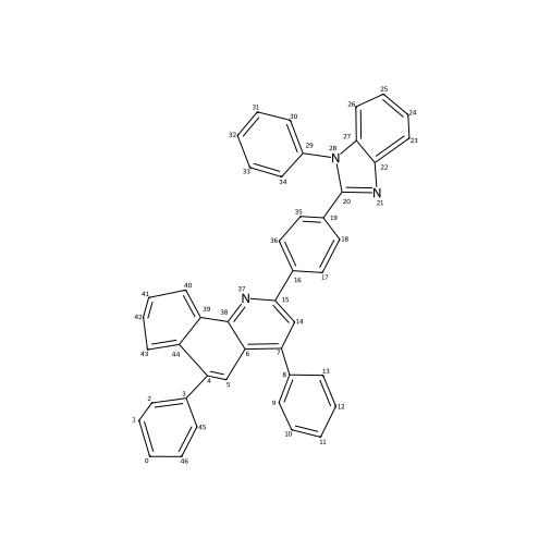 c1ccc(-c2cc3c(-c4ccccc4)cc(-c4ccc(-c5nc6ccccc6n5-c5ccccc5)cc4)nc3c3ccccc23)cc1